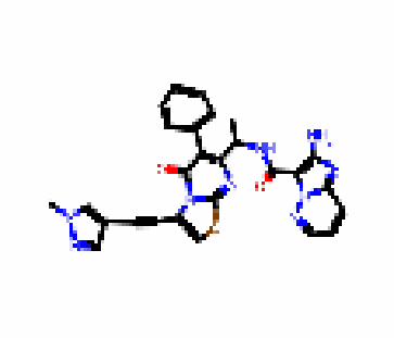 CC(NC(=O)c1c(N)nc2cccnn12)c1nc2scc(C#Cc3cnn(C)c3)n2c(=O)c1-c1ccccc1